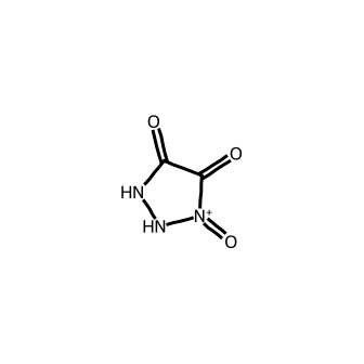 O=C1NN[N+](=O)C1=O